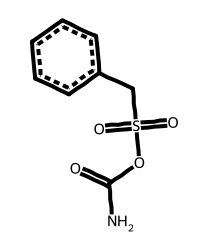 NC(=O)OS(=O)(=O)Cc1ccccc1